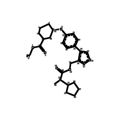 CC(C)OC(=O)C1CCC[C@H](Oc2ccc(-c3conc3COC(=O)N(C)C3CCCC3)cc2)C1